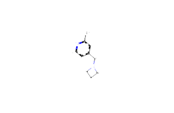 CC(C)c1cc(CN2CCC2)ccn1